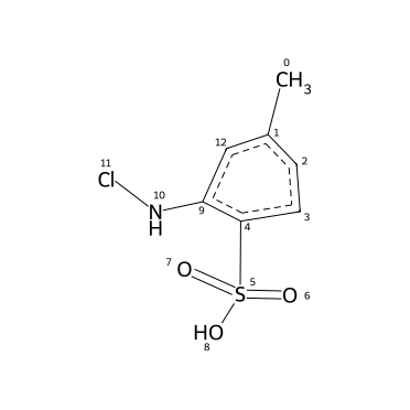 Cc1ccc(S(=O)(=O)O)c(NCl)c1